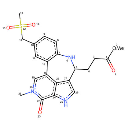 COC(=O)CCC1Nc2ccc(CS(C)(=O)=O)cc2-c2cn(C)c(=O)c3[nH]cc1c23